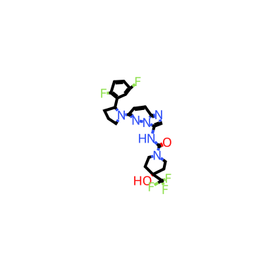 O=C(Nc1cnc2ccc(N3CCCC3c3cc(F)ccc3F)nn12)N1CCC(O)(C(F)(F)F)CC1